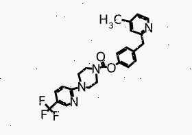 Cc1ccnc(Cc2ccc(OC(=O)N3CCN(c4ccc(C(F)(F)F)cn4)CC3)cc2)c1